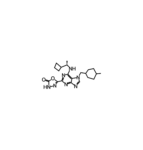 CC1CCC(Cn2cnc3nc(-c4n[nH]c(=O)o4)nc(N[C@H](C)C4CCC4)c32)CC1